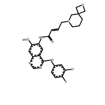 COc1cc2ncnc(Nc3ccc(F)c(Cl)c3)c2cc1NC(=O)C=CCN1CCCC2(COC2)C1